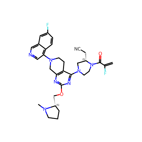 C=C(F)C(=O)N1CCN(c2nc(OC[C@@H]3CCCN3C)nc3c2CCN(c2cncc4cc(F)ccc24)C3)C[C@@H]1CC#N